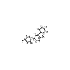 Cc1ccc(C2=CCC3Sc4ccccc4C3C2)cc1